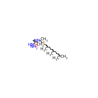 C=C(NC(C)CSC/C=C(\C)CC/C=C(\C)CCC=C(C)C)C1(C(=O)NN)CC1